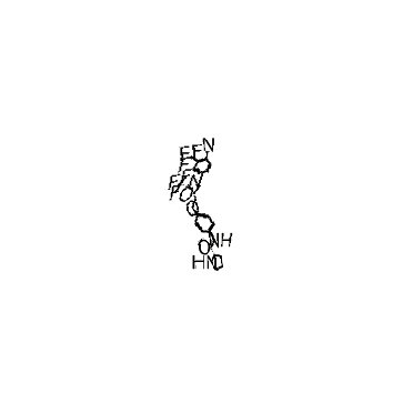 N#Cc1ccc(N2C[C@@H](COc3ccc(NC(=O)[C@@H]4CCCN4)cc3)O[C@@H]2C(F)(F)F)cc1C(F)(F)F